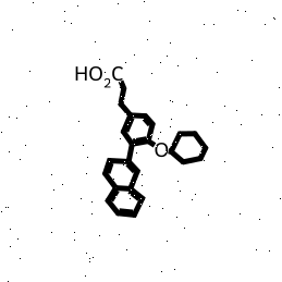 O=C(O)CCc1ccc(OC2CCCCC2)c(-c2ccc3ccccc3c2)c1